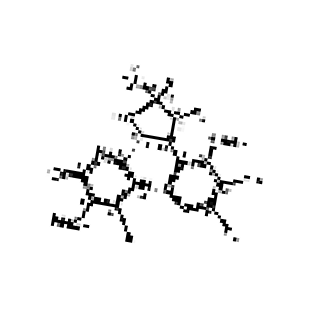 COc1c([C@H]2[C@H](c3nc(=O)c(SC)c(C)[nH]3)O[C@@](C)(C(F)(F)F)[C@H]2C)ccc(F)c1F